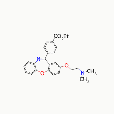 CCOC(=O)c1ccc(C2=Nc3ccccc3Oc3ccc(OCCN(C)C)cc32)cc1